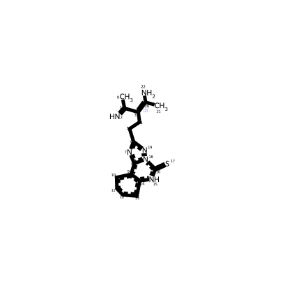 CC(=N)/C(CCc1nc2c3ccccc3[nH]c(=S)n2n1)=C(/C)N